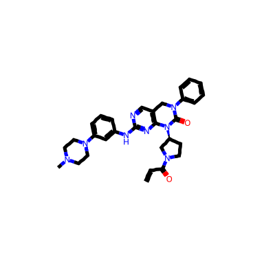 C=CC(=O)N1CC[C@H](N2C(=O)N(c3ccccc3)Cc3cnc(Nc4cccc(N5CCN(C)CC5)c4)nc32)C1